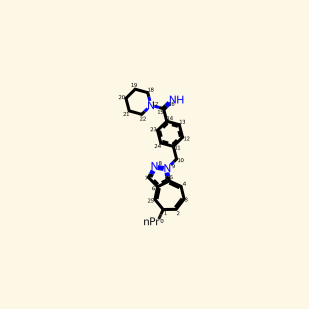 CCCC1C=CC=c2c(cnn2Cc2ccc(C(=N)N3CCCCC3)cc2)=C1